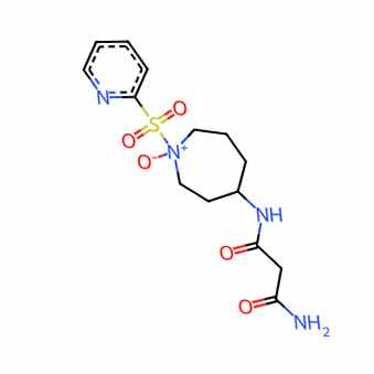 NC(=O)CC(=O)NC1CCC[N+]([O-])(S(=O)(=O)c2ccccn2)CC1